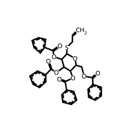 C=CCSC1OC(COC(=O)c2ccccc2)C(OC(=O)c2ccccc2)C(OC(=O)c2ccccc2)C1OC(=O)c1ccccc1